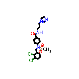 CS(=O)(=O)N(Cc1cccc(Cl)c1Cl)c1ccc(C(=O)NCCCn2ccnc2)cc1